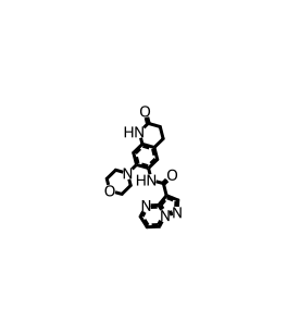 O=C1CCc2cc(NC(=O)c3cnn4cccnc34)c(N3CCOCC3)cc2N1